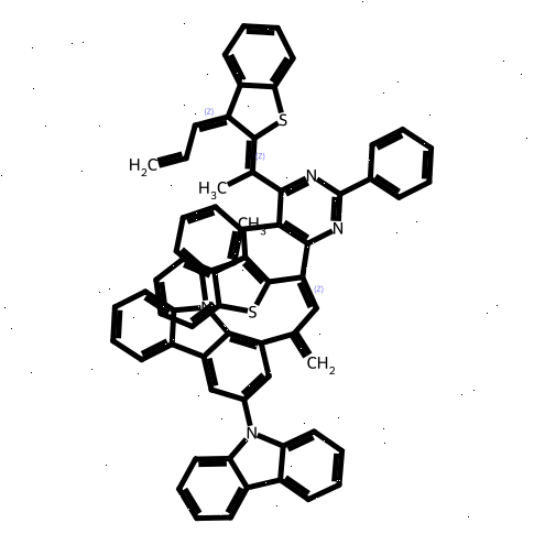 C=C/C=c1\c(=C(/C)c2nc(-c3ccccc3)nc3c2-c2cccc(c2)-n2c4ccccc4c4cc(-n5c6ccccc6c6ccccc65)cc(c42)C(=C)/C=C/3c2sc3ccccc3c2C)sc2ccccc12